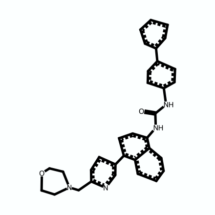 O=C(Nc1ccc(-c2ccccc2)cc1)Nc1ccc(-c2ccc(CN3CCOCC3)nc2)c2ccccc12